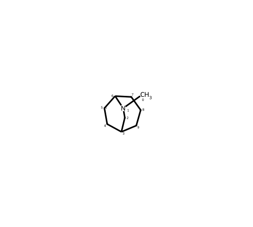 CN1CC2C[CH]C1CCC2